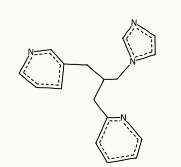 c1ccc(C[C](Cc2cccnc2)Cn2ccnc2)nc1